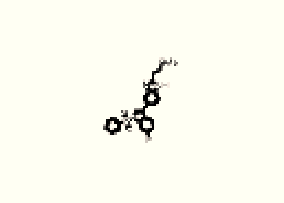 CSCCc1nc2cc(-c3cn(S(=O)(=O)c4ccccc4)c4cc(F)ccc34)ccc2[nH]1